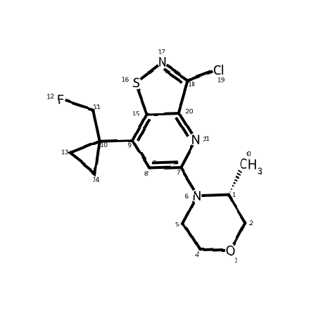 C[C@@H]1COCCN1c1cc(C2(CF)CC2)c2snc(Cl)c2n1